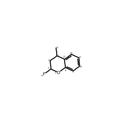 CC1CC(F)Oc2ccccc21